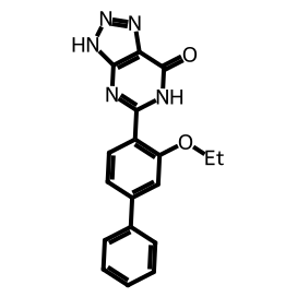 CCOc1cc(-c2ccccc2)ccc1-c1nc2[nH]nnc2c(=O)[nH]1